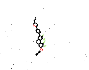 C#CC#COc1cc2c(c(F)c1F)-c1c(cc(-c3ccc(C4=CCC(CCC)CO4)cc3)c(F)c1F)CC2